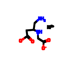 NCC(CC(=O)[O-])NCC(=O)[O-].[Ni+2]